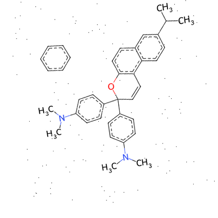 CC(C)c1ccc2c3c(ccc2c1)OC(c1ccc(N(C)C)cc1)(c1ccc(N(C)C)cc1)C=C3.c1ccccc1